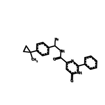 CC(C)C(NC(=O)c1cc(=O)[nH]c(-c2ccccc2)n1)c1ccc(C2(C)CC2)cc1